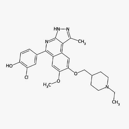 CCN1CCC(COc2cc3c(cc2OC)c(-c2ccc(O)c(Cl)c2)nc2[nH]nc(C)c23)CC1